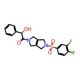 O=C([C@H](O)c1ccccc1)N1CC2=C(C1)CN(S(=O)(=O)c1ccc(F)c(F)c1)C2